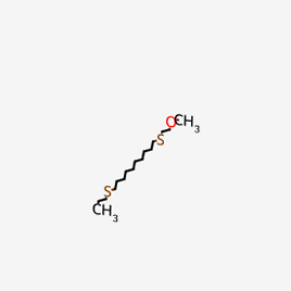 CCCSCCCCCCCCCCSCCOC